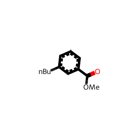 CCCCc1c[c]cc(C(=O)OC)c1